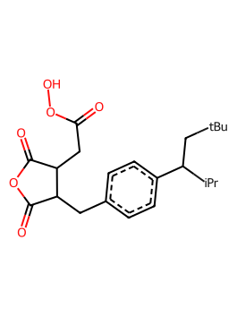 CC(C)C(CC(C)(C)C)c1ccc(CC2C(=O)OC(=O)C2CC(=O)OO)cc1